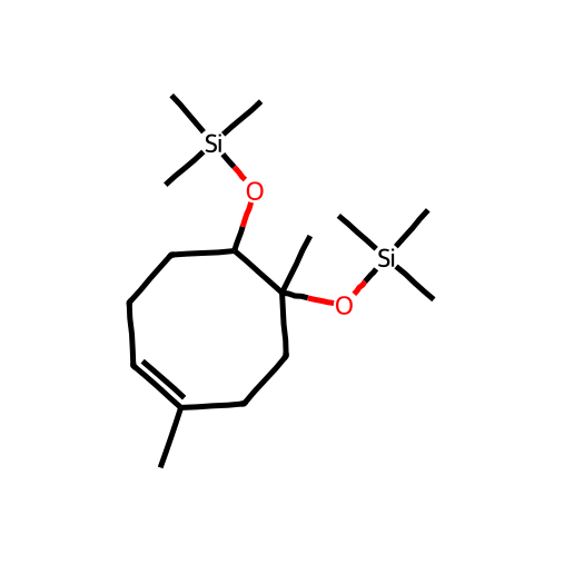 CC1=CCCC(O[Si](C)(C)C)C(C)(O[Si](C)(C)C)CC1